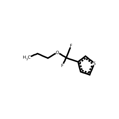 CCCOC(F)(F)c1ccsc1